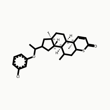 CC(Oc1cccc(Cl)c1)C1C[C@H]2[C@@H]3C(C)CC4SC(=O)C=C[C@]4(C)[C@@H]3CC[C@]2(C)C1